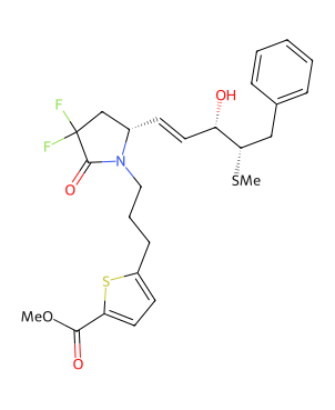 COC(=O)c1ccc(CCCN2C(=O)C(F)(F)C[C@@H]2/C=C/[C@H](O)[C@H](Cc2ccccc2)SC)s1